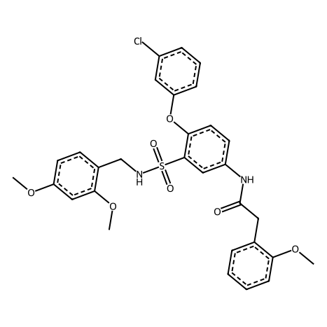 COc1ccc(CNS(=O)(=O)c2cc(NC(=O)Cc3ccccc3OC)ccc2Oc2cccc(Cl)c2)c(OC)c1